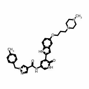 Cc1ccc(Cn2cc(C(=O)Nc3c[nH]c(=O)c(-c4cc5cc(OCCCN6CCN(C)CC6)ccc5[nH]4)c3)cn2)cc1